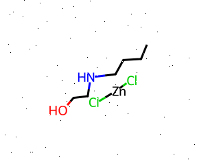 CCCCNCCO.[Cl][Zn][Cl]